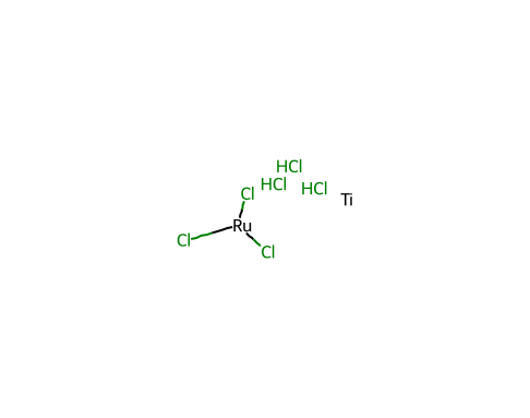 Cl.Cl.Cl.[Cl][Ru]([Cl])[Cl].[Ti]